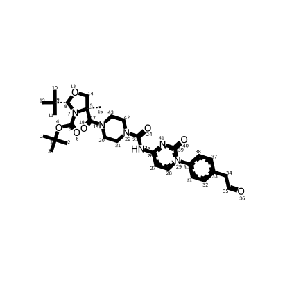 CC(C)(C)OC(=O)N1[C@H](C(C)(C)C)OC[C@@]1(C)C(=O)N1CCN(C(=O)Nc2ccn(-c3ccc(CC=O)cc3)c(=O)n2)CC1